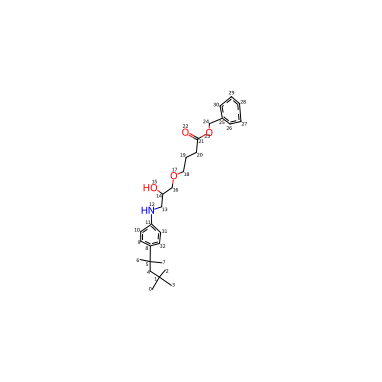 CC(C)(C)CC(C)(C)c1ccc(NCC(O)COCCCC(=O)OCc2ccccc2)cc1